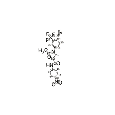 C[C@H]1O[C@H](C(=O)Nc2ccc([N+](=O)[O-])cc2)CN1c1ccc(C#N)c(C(F)(F)F)c1